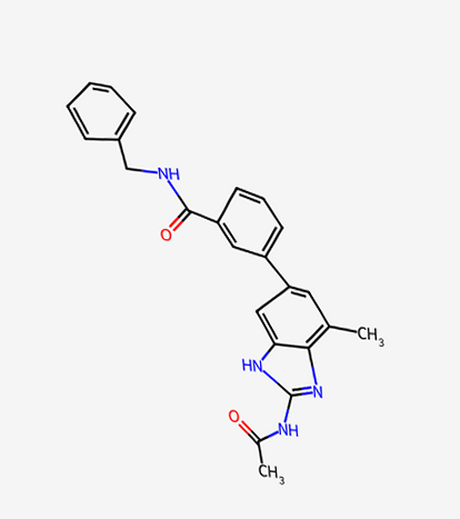 CC(=O)Nc1nc2c(C)cc(-c3cccc(C(=O)NCc4ccccc4)c3)cc2[nH]1